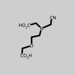 N#CCN(CCOCC(=O)O)CC(=O)O